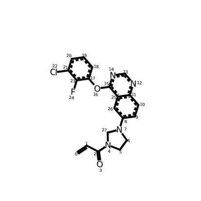 C=CC(=O)N1CCN(c2ccc3ncnc(Oc4cccc(Cl)c4F)c3c2)C1